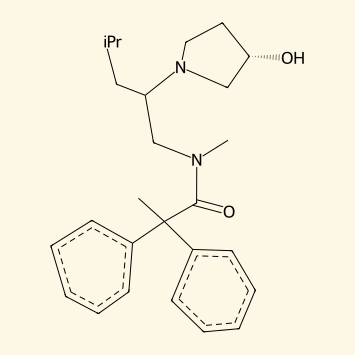 CC(C)CC(CN(C)C(=O)C(C)(c1ccccc1)c1ccccc1)N1CC[C@H](O)C1